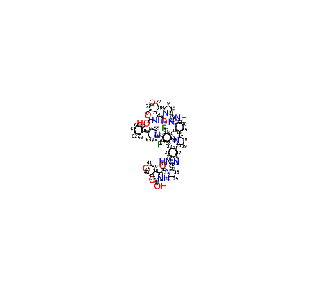 O=C(O)N[C@H](C(=O)N1CCC[C@H]1c1nc2cc([C@H]3CC[C@H](c4ccc5[nH]c([C@@H]6CCCN6C(=O)[C@@H](NC(=O)O)C6CCOCC6)nc5c4)N3c3cc(F)c(N4CCC(c5ccccc5)CC4)c(F)c3)ccc2[nH]1)C1CCOCC1